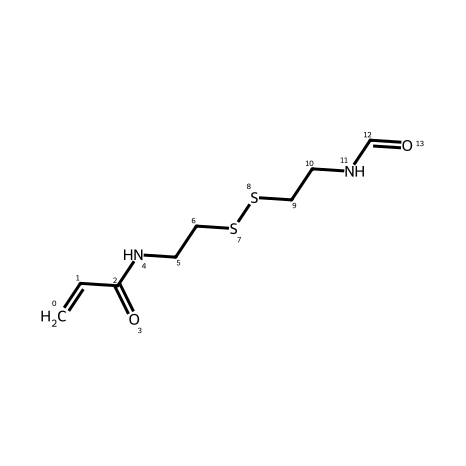 C=CC(=O)NCCSSCCNC=O